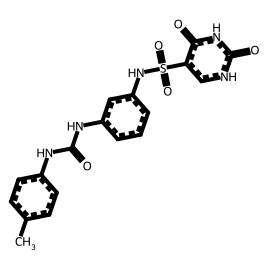 Cc1ccc(NC(=O)Nc2cccc(NS(=O)(=O)c3c[nH]c(=O)[nH]c3=O)c2)cc1